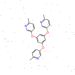 Cc1ccc(Oc2cc(Oc3ccc(C)nc3)cc(Oc3ccc(C)nc3)c2)cn1